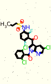 CCCS(=O)(=O)Nc1ccc(F)c(C(=O)c2cn(C(=O)c3c(Cl)cccc3Cl)c3ncc(Cl)cc23)c1F